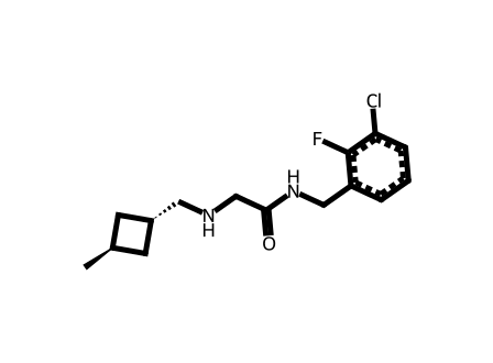 C[C@H]1C[C@H](CNCC(=O)NCc2cccc(Cl)c2F)C1